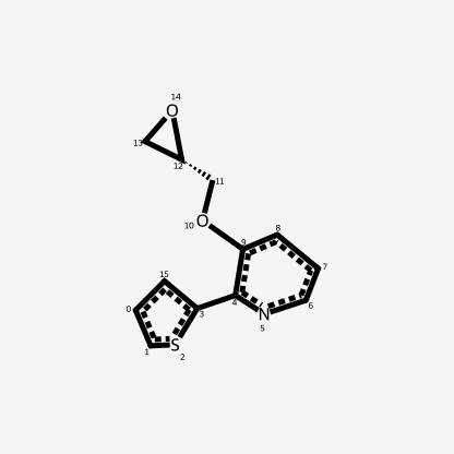 c1csc(-c2ncccc2OC[C@@H]2CO2)c1